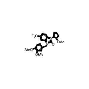 COc1ccc(Cn2c(=O)n(C3CCCC3OC(C)=O)c3ccc(C(F)(F)F)cc32)cc1OC